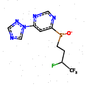 [O-][S+](CCC(F)C(F)(F)F)c1cc(-n2cncn2)ncn1